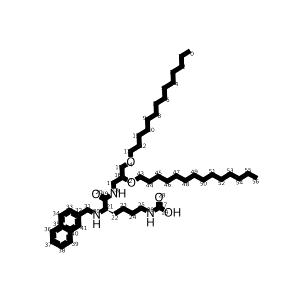 CCCCCCCCCCCCCCOCC(CNC(=O)[C@H](CCCCNC(=O)O)NCc1ccc2ccccc2c1)OCCCCCCCCCCCCCC